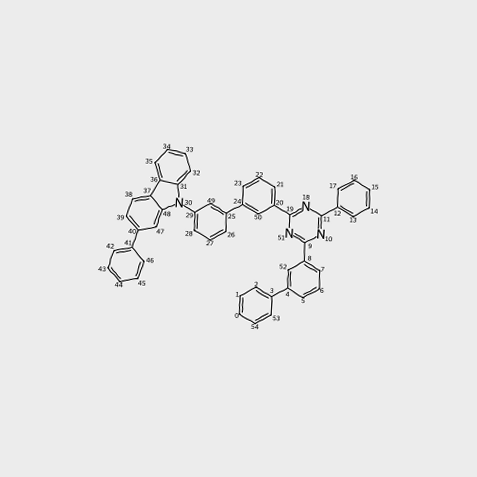 c1ccc(-c2cccc(-c3nc(-c4ccccc4)nc(-c4cccc(-c5cccc(-n6c7ccccc7c7ccc(-c8ccccc8)cc76)c5)c4)n3)c2)cc1